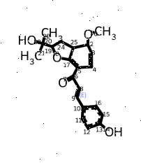 COC1C=CC(C(=O)/C=C/c2ccc(O)cc2)=C2OC(C(C)(C)O)CC21